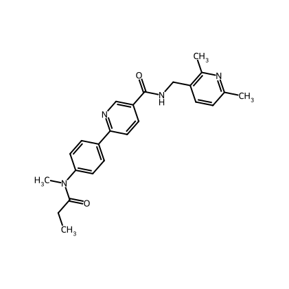 CCC(=O)N(C)c1ccc(-c2ccc(C(=O)NCc3ccc(C)nc3C)cn2)cc1